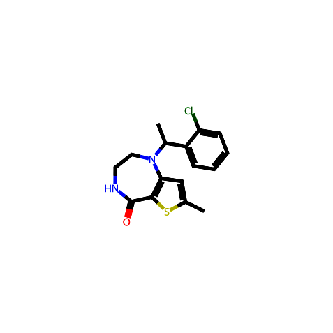 Cc1cc2c(s1)C(=O)NCCN2C(C)c1ccccc1Cl